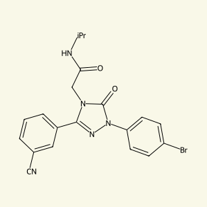 CC(C)NC(=O)Cn1c(-c2cccc(C#N)c2)nn(-c2ccc(Br)cc2)c1=O